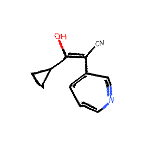 N#C/C(=C(\O)C1CC1)c1cccnc1